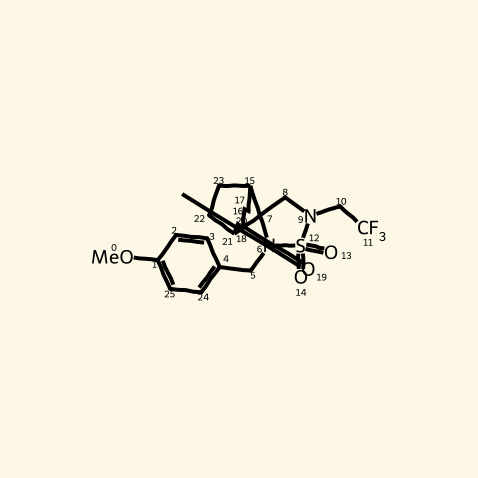 COc1ccc(CN2C3(CN(CC(F)(F)F)S2(=O)=O)C2CCC(=O)CC3CC2)cc1